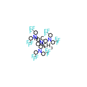 Cc1cc(N(c2cccc(C(F)(F)F)c2)c2cccc(C(F)(F)F)c2)ccc1N(c1ccc(N(c2cccc(C(F)(F)F)c2)c2cccc(C(F)(F)F)c2)cc1C)c1ccc(N(c2cccc(C(F)(F)F)c2)c2cccc(C(F)(F)F)c2)cc1C